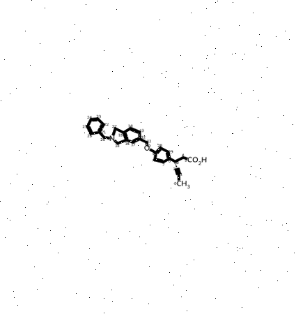 CC#C[C@@H](CC(=O)O)c1ccc(OCc2ccc3c(c2)CN(Cc2ccccc2)C3)cc1